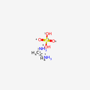 C.C.N.N.O=S(=O)(O)O